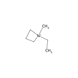 CC[N+]1(C)CCC1